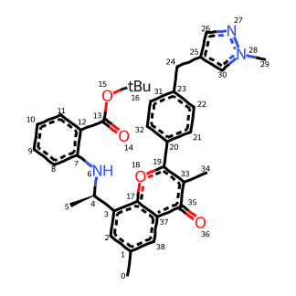 Cc1cc([C@@H](C)Nc2ccccc2C(=O)OC(C)(C)C)c2oc(-c3ccc(Cc4cnn(C)c4)cc3)c(C)c(=O)c2c1